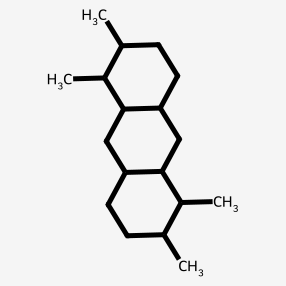 CC1CCC2CC3C(CCC(C)C3C)CC2C1C